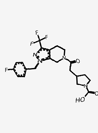 O=C(O)N1CCC(CC(=O)N2CCc3c(C(F)(F)F)nn(Cc4ccc(F)cc4)c3C2)C1